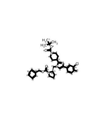 CC(C)(C)OC(=O)N1CCC(c2nc(-c3ccc(F)c(Cl)c3)cn2C[C@H]2CCCN2C(=O)OCc2ccccc2)CC1